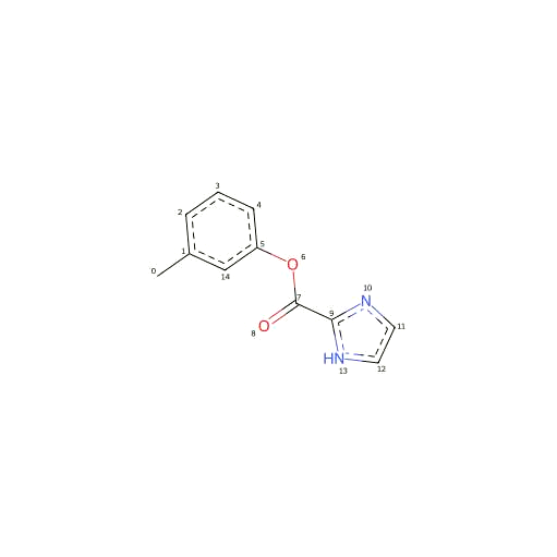 Cc1cccc(OC(=O)c2ncc[nH]2)c1